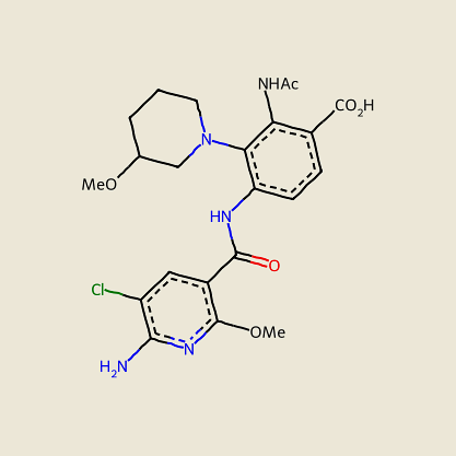 COc1nc(N)c(Cl)cc1C(=O)Nc1ccc(C(=O)O)c(NC(C)=O)c1N1CCCC(OC)C1